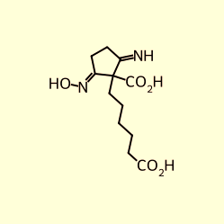 N=C1CCC(=NO)C1(CCCCCC(=O)O)C(=O)O